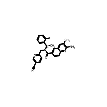 Cc1cc2cc(C(=O)N(Cc3ccc(C#N)cn3)[C@H](C)c3ccccc3F)ccc2nc1N